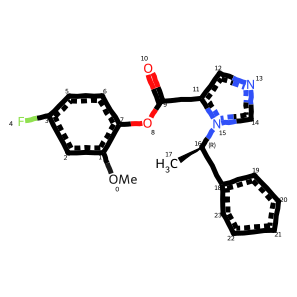 COc1cc(F)ccc1OC(=O)c1cncn1[C@H](C)c1ccccc1